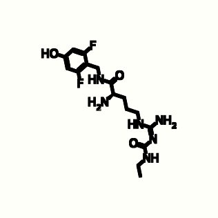 CCNC(=O)/N=C(/N)NCCC[C@@H](N)C(=O)NCc1c(F)cc(O)cc1F